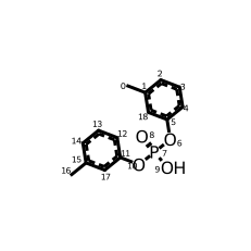 Cc1cccc(OP(=O)(O)Oc2cccc(C)c2)c1